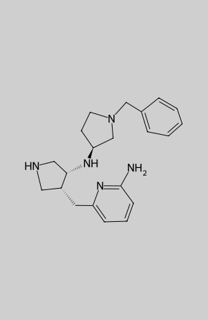 Nc1cccc(C[C@@H]2CNC[C@@H]2N[C@H]2CCN(Cc3ccccc3)C2)n1